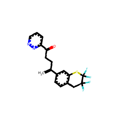 C=C(CCC(=O)c1cccnn1)c1ccc2c(c1)SC(F)(F)C(F)(F)C2